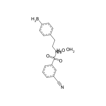 Bc1ccc(CCNS(=O)(=O)c2cccc(C#N)c2)cc1.O.O